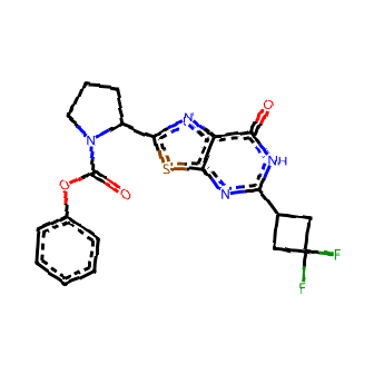 O=C(Oc1ccccc1)N1CCCC1c1nc2c(=O)[nH]c(C3CC(F)(F)C3)nc2s1